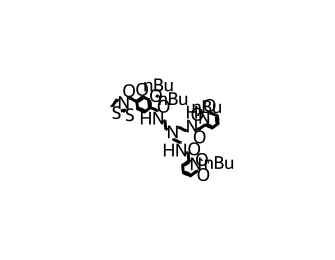 CCCCOc1c(C(=O)NCCN(CCNC(=O)c2cccc(=O)n2OCCCC)CCNC(=O)c2cccc(=O)n2OCCCC)ccc(C(=O)N2CCSC2=S)c1OCCCC